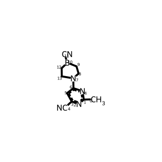 Cc1nc(C#N)cc(N2CCB(C#N)CC2)n1